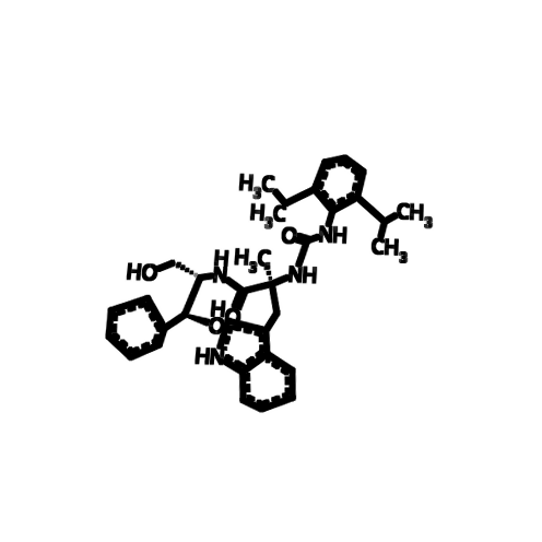 CC(C)c1cccc(C(C)C)c1NC(=O)N[C@@](C)(Cc1c[nH]c2ccccc12)C(=O)N[C@@H](CO)[C@@H](O)c1ccccc1